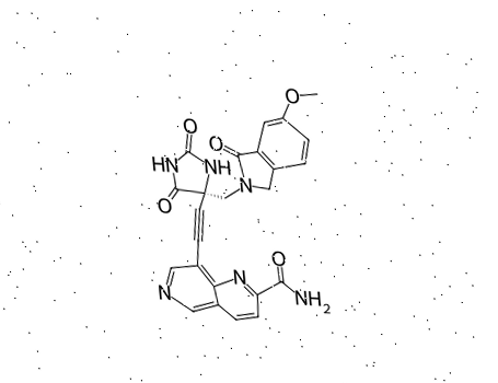 COc1ccc2c(c1)C(=O)N(C[C@@]1(C#Cc3cncc4ccc(C(N)=O)nc34)NC(=O)NC1=O)C2